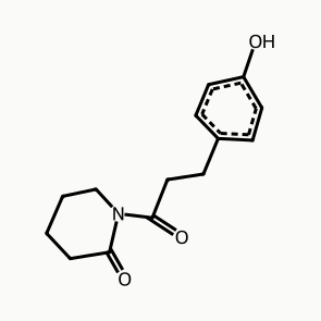 O=C1CCCCN1C(=O)CCc1ccc(O)cc1